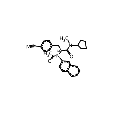 CC(=O)N(c1ccc2ccccc2c1)[C@@H](Cc1ccc(C#N)cc1)C(=O)N(C)C1CCCC1